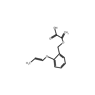 C=C(OCc1ccccc1OC=CC)C(=O)O